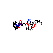 COc1cc2nccc(Oc3ccc(NC(=O)C4(C(=O)N5[C@@H]6CC[C@H]5C[C@H](C#N)C6)CC4)cc3)c2cc1OC